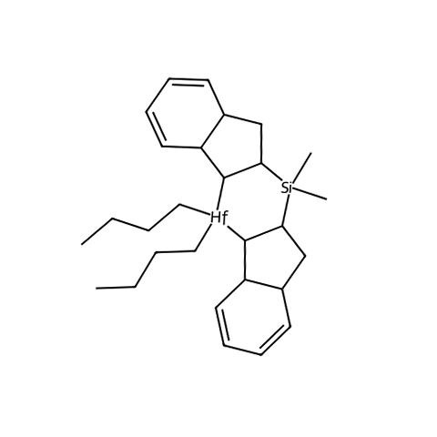 CCC[CH2][Hf]1([CH2]CCC)[CH]2C3C=CC=CC3CC2[Si](C)(C)C2CC3C=CC=CC3[CH]21